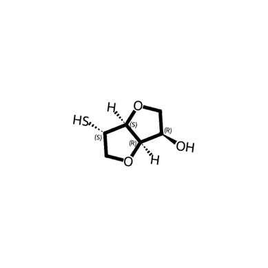 O[C@@H]1CO[C@H]2[C@@H]1OC[C@@H]2S